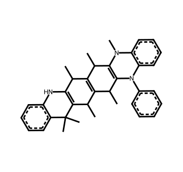 CC1C2=C(C(C)C3=C1C(C)C1=C(C3C)N(c3ccccc3)c3ccccc3N1C)C(C)(C)c1ccccc1N2